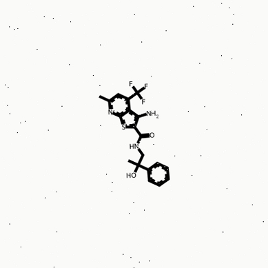 Cc1cc(C(F)(F)F)c2c(N)c(C(=O)NCC(C)(O)c3ccccc3)sc2n1